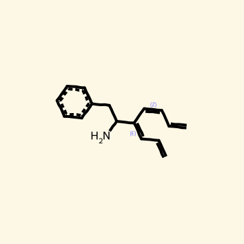 C=C/C=C\C(=C/C=C)C(N)Cc1ccccc1